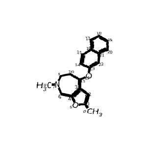 Cc1cc2c(o1)CN(C)CCC2Oc1ccc2ccccc2c1